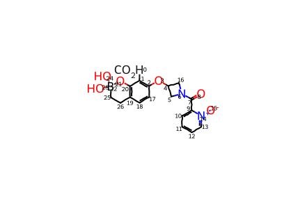 O=C(O)c1c(OC2CN(C(=O)c3cccc[n+]3[O-])C2)ccc2c1O[B-](O)(O)CC2